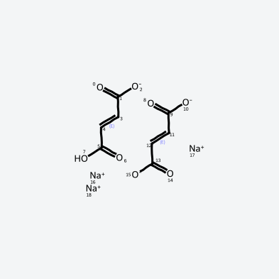 O=C([O-])/C=C/C(=O)O.O=C([O-])/C=C/C(=O)[O-].[Na+].[Na+].[Na+]